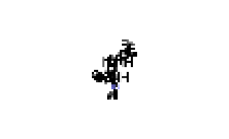 C#Cc1cc(Nc2ncnc3cc(O[C@H]4CCOC4)c(NC(=O)/C=C/CN(C)CC)cc23)ccc1C(F)(F)F